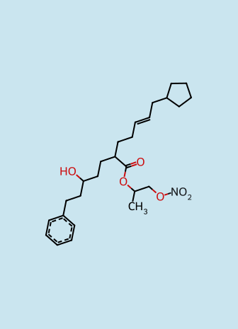 CC(CO[N+](=O)[O-])OC(=O)C(CCC=CCC1CCCC1)CCC(O)CCc1ccccc1